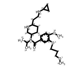 COCCCOc1cc(C(=O)N(C(C)C)C2CCC(CCNC3CC3)NC2)ccc1OC